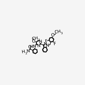 CCOc1cc(F)c(Cn2nc(-c3ncc(OC)c(Nc4ccccc4C(N)=O)n3)c3ccccc32)c(F)c1